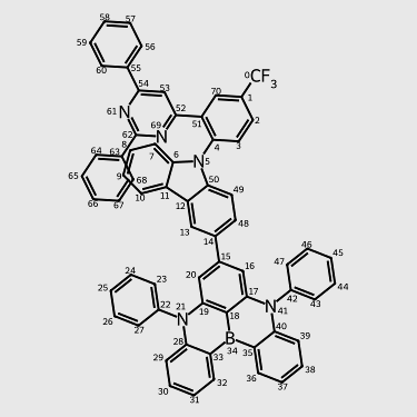 FC(F)(F)c1ccc(-n2c3ccccc3c3cc(-c4cc5c6c(c4)N(c4ccccc4)c4ccccc4B6c4ccccc4N5c4ccccc4)ccc32)c(-c2cc(-c3ccccc3)nc(-c3ccccc3)n2)c1